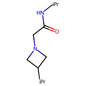 CC(C)NC(=O)CN1CC(C(C)C)C1